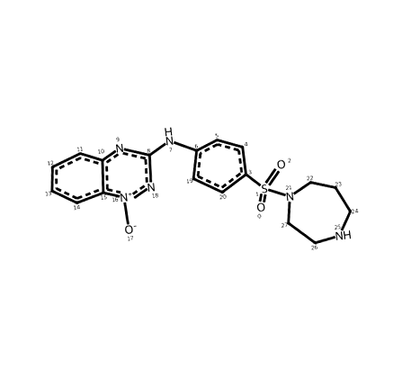 O=S(=O)(c1ccc(Nc2nc3ccccc3[n+]([O-])n2)cc1)N1CCCNCC1